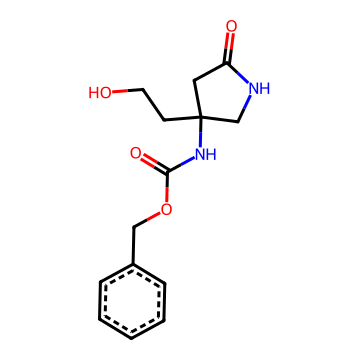 O=C1CC(CCO)(NC(=O)OCc2ccccc2)CN1